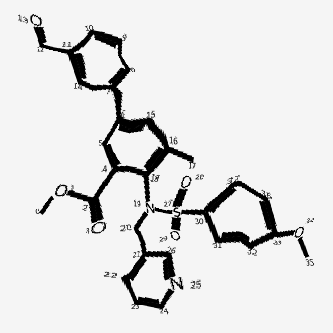 COC(=O)c1cc(-c2cccc(C=O)c2)cc(C)c1N(Cc1cccnc1)S(=O)(=O)c1ccc(OC)cc1